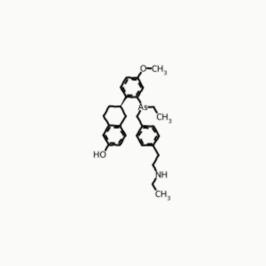 CCNCCc1ccc(C[As](CC)c2cc(OC)ccc2[C@@H]2CCc3cc(O)ccc3C2)cc1